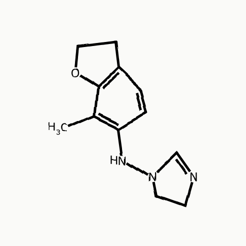 Cc1c(NN2C=NCC2)ccc2c1OCC2